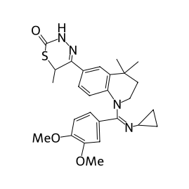 COc1ccc(/C(=N/C2CC2)N2CCC(C)(C)c3cc(C4=NNC(=O)SC4C)ccc32)cc1OC